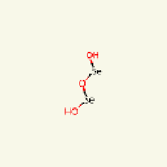 O[Se]O[Se]O